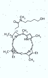 CCC1=C(C)c2cc3[nH]c(cc4nc(c(C)c5cc(C)c(cc1n2)[nH]5)[C@@H](CCC(=O)N(C)CCCCCO)[C@@H]4C)c(C)c3CC